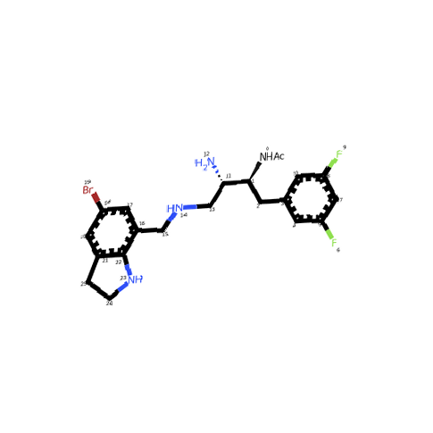 CC(=O)N[C@@H](Cc1cc(F)cc(F)c1)[C@@H](N)CNCc1cc(Br)cc2c1NCC2